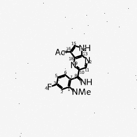 CNc1cc(F)ccc1C(=N)c1cnc2[nH]cc(C(C)=O)c2n1